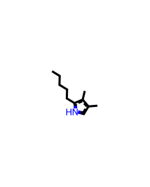 CCCCCc1[nH]cc(C)c1C